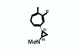 CN[C@@H]1C[C@H]1C1=CCC=C(C)C(F)=C1